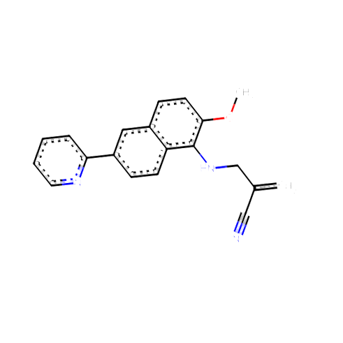 C=C(C#N)CNc1c(OC)ccc2cc(-c3ccccn3)ccc12